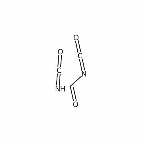 N=C=O.O=C=NC=O